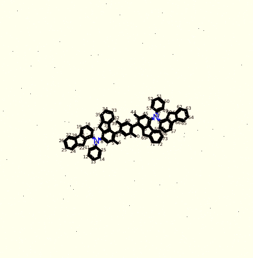 Cc1cc(-c2c(C)cc(N(c3ccccc3)c3cccc4c3Cc3ccccc3-4)c3c2-c2ccccc2C3)c(C)cc1-c1c(C)cc(N(c2ccccc2)c2cccc3c2Cc2ccccc2-3)c2c1Cc1ccccc1-2